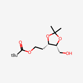 CC1(C)O[C@@H](CCOC(=O)C(C)(C)C)[C@@H](CO)O1